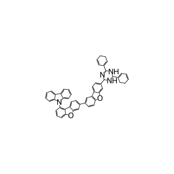 C1=CCCC(C2NC(C3=CCCC=C3)=NC(c3ccc4c(c3)oc3ccc(-c5ccc6c(c5)oc5cccc(-n7c8ccccc8c8ccccc87)c56)cc34)N2)=C1